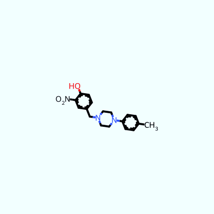 Cc1ccc(N2CCN(Cc3ccc(O)c([N+](=O)[O-])c3)CC2)cc1